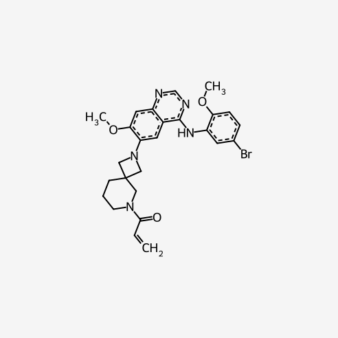 C=CC(=O)N1CCCC2(C1)CN(c1cc3c(Nc4cc(Br)ccc4OC)ncnc3cc1OC)C2